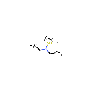 CC.CCN(S)CC